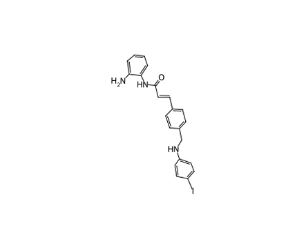 Nc1ccccc1NC(=O)C=Cc1ccc(CNc2ccc(I)cc2)cc1